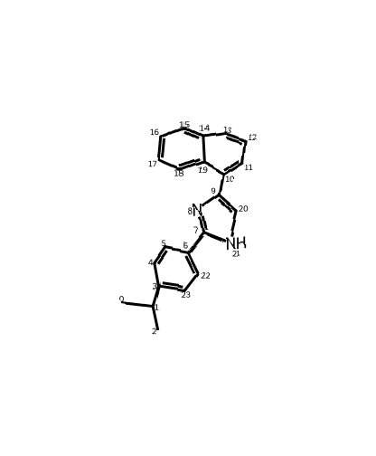 CC(C)c1ccc(-c2nc(-c3cccc4ccccc34)c[nH]2)cc1